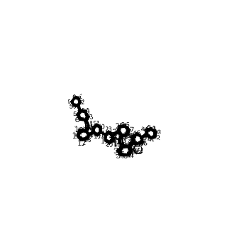 c1ccc(-c2ccc(-n3c4ccccc4c4cc(-c5ccc6c(c5)c5ccccc5n6-c5cccc6oc7cc(-c8ccccc8)ccc7c56)ccc43)cc2)cc1